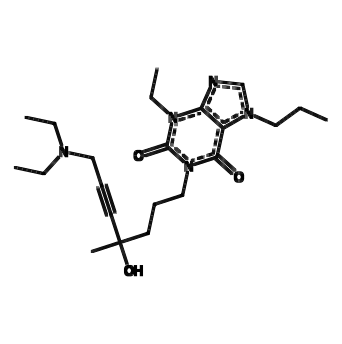 CCCn1cnc2c1c(=O)n(CCCC(C)(O)C#CCN(CC)CC)c(=O)n2CC